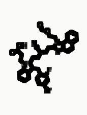 N#CC(=C\C=C1/Sc2ccc3ccccc3c2N1CCOC=O)/C=C/C1=[N+](CCC(=O)O)c2ccccc2C1Cc1ccc(Br)cc1F